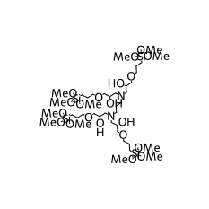 CO[Si](CCCOCC(O)CN(CCCN(CC(O)COCCC[Si](OC)(OC)OC)CC(O)COCCC[Si](OC)(OC)OC)CC(O)COCCC[Si](OC)(OC)OC)(OC)OC